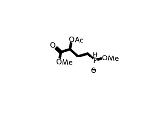 COC(=O)C(CC[PH](=O)OC)OC(C)=O